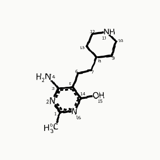 Cc1nc(N)c(CCC2CCNCC2)c(O)n1